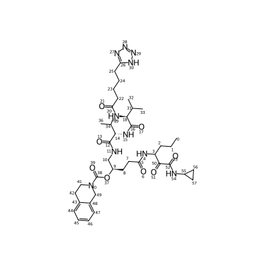 CCCC(NC(=O)CC[C@H](CNC(=O)[C@@H](NC(=O)[C@@H](NC(=O)CCCCc1nnn[nH]1)C(C)C)C(C)C)OC(=O)N1CCc2ccccc2C1)C(=O)C(=O)NC1CC1